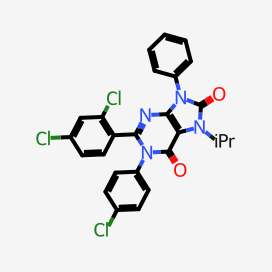 CC(C)n1c(=O)n(-c2ccccc2)c2nc(-c3ccc(Cl)cc3Cl)n(-c3ccc(Cl)cc3)c(=O)c21